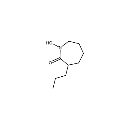 CCCC1CCCCN(O)C1=O